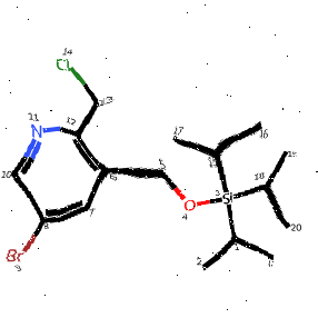 CC(C)[Si](OCc1cc(Br)cnc1CCl)(C(C)C)C(C)C